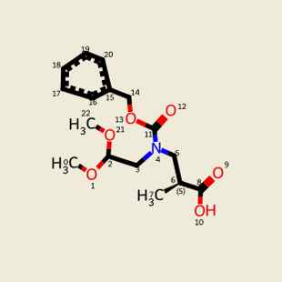 COC(CN(C[C@H](C)C(=O)O)C(=O)OCc1ccccc1)OC